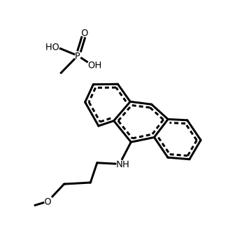 COCCCNc1c2ccccc2cc2ccccc12.CP(=O)(O)O